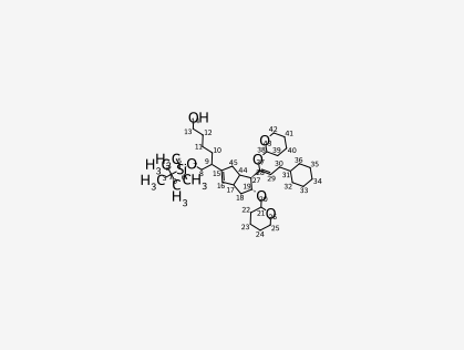 CC(C)(C)[Si](C)(C)OCC(CCCCO)C1=CC2C[C@@H](OC3CCCCO3)[C@H](C(=CCC3CCCCC3)OC3CCCCO3)C2C1